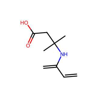 C=CC(=C)NC(C)(C)CC(=O)O